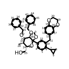 COC1(c2ccc(C3CC3)c(Cc3ccc4c(c3)OCCO4)c2)O[C@H](CO)[C@@H](C)[C@H](OCc2ccccc2)[C@H]1OCc1ccccc1